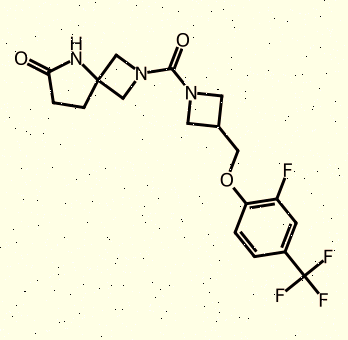 O=C1CCC2(CN(C(=O)N3CC(COc4ccc(C(F)(F)F)cc4F)C3)C2)N1